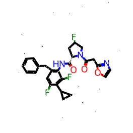 O=C(Nc1c(Cc2ccccc2)cc(F)c(C2CC2)c1F)[C@@H]1C[C@@H](F)CN1C(=O)Cc1ncco1